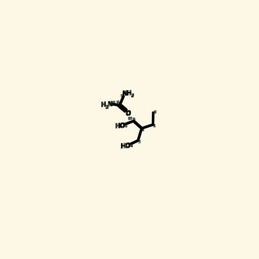 CCC(CO)CO.NC(N)=O